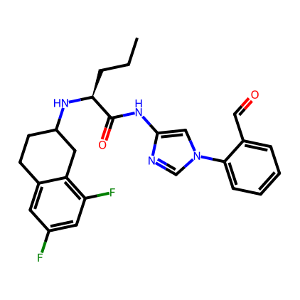 CCC[C@H](NC1CCc2cc(F)cc(F)c2C1)C(=O)Nc1cn(-c2ccccc2C=O)cn1